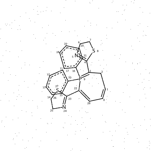 C1=CCC(C2=NCCS2)=P(c2ccccc2)(c2ccccc2)C(C2=NCCS2)=C1